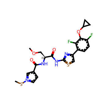 COC[C@H](NC(=O)c1ccn(SC)c1)C(=O)Nc1nc(-c2ccc(F)c(OC3CC3)c2F)cs1